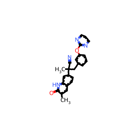 Cc1cc2ccc(C(C)(C#N)Cc3cccc(Oc4ncccn4)c3)cc2[nH]c1=O